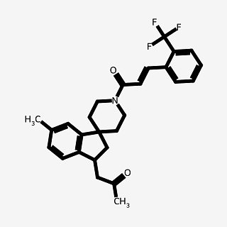 CC(=O)CC1CC2(CCN(C(=O)/C=C/c3ccccc3C(F)(F)F)CC2)c2cc(C)ccc21